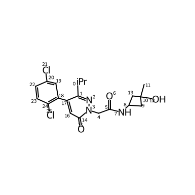 CC(C)c1nn(CC(=O)NC2CC(C)(O)C2)c(=O)cc1-c1cc(Cl)ccc1Cl